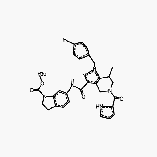 CC1CN(C(=O)c2ccc[nH]2)Cc2c(C(=O)Nc3ccc4c(c3)N(C(=O)OC(C)(C)C)CC4)nn(Cc3ccc(F)cc3)c21